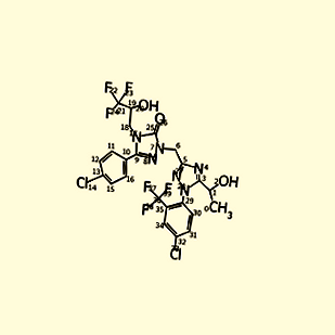 CC(O)c1nc(Cn2nc(-c3ccc(Cl)cc3)n(CC(O)C(F)(F)F)c2=O)nn1-c1ccc(Cl)cc1C(F)(F)F